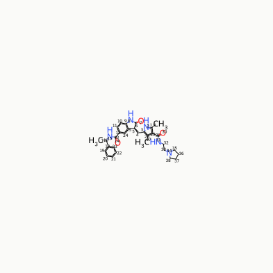 Cc1[nH]c(/C=C2\C(=O)Nc3ccc(C(=O)N[C@@H](C)c4ccccc4)cc32)c(C)c1C(=O)NCCN1CCCC1